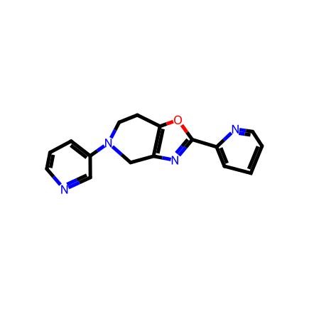 c1ccc(-c2nc3c(o2)CCN(c2cccnc2)C3)nc1